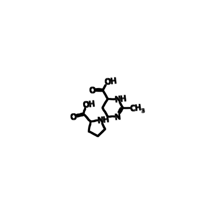 CC1=NCCC(C(=O)O)N1.O=C(O)C1CCCN1